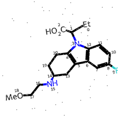 CCC(C(=O)O)n1c2c(c3cc(F)ccc31)C[C@@H](NCCOC)CC2